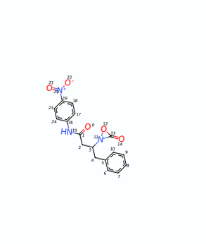 O=C(CC(Cc1ccccc1)N1OC1=O)Nc1ccc([N+](=O)[O-])cc1